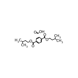 CC(C)CCOC(=O)c1ccc(C(=O)OCCC(C)C)cc1.O=CO